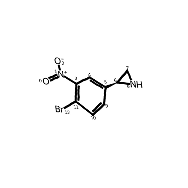 O=[N+]([O-])c1cc([C@H]2CN2)ccc1Br